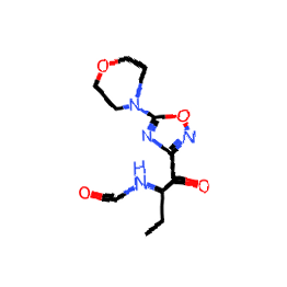 CCC(NC=O)C(=O)c1noc(N2CCOCC2)n1